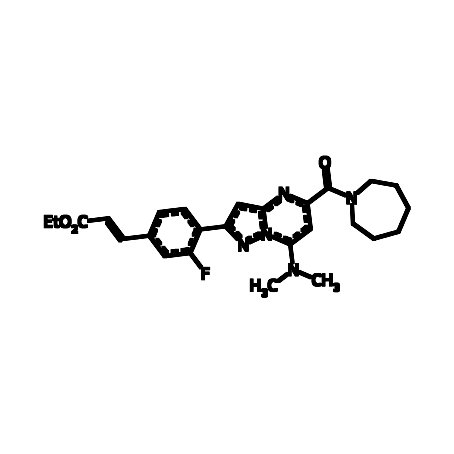 CCOC(=O)/C=C/c1ccc(-c2cc3nc(C(=O)N4CCCCCC4)cc(N(C)C)n3n2)c(F)c1